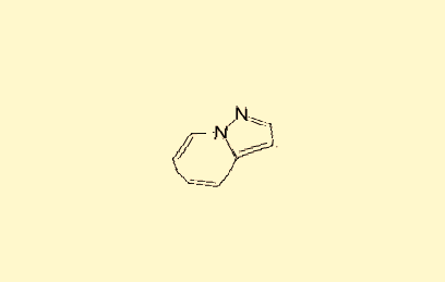 [c]1cnn2ccccc12